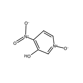 O=[N+]([O-])c1cc[n+]([O-])cc1O